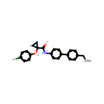 COCc1ccc(-c2ccc(NC(=O)C3(Oc4ccc(F)cc4)CC3)cc2)cc1